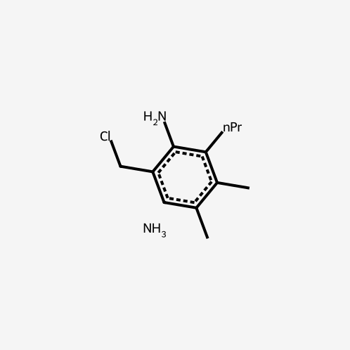 CCCc1c(C)c(C)cc(CCl)c1N.N